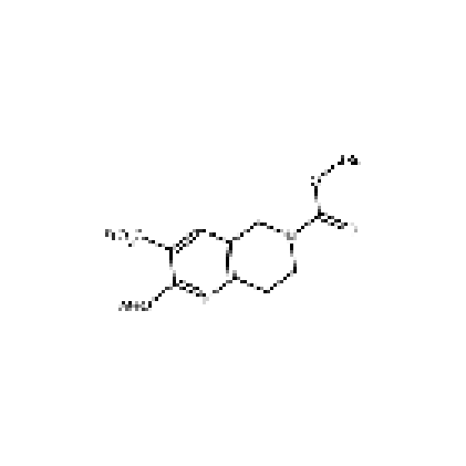 CCOC(=O)c1cc2c(nc1OC)CCN(C(=O)OC(C)(C)C)C2